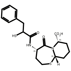 O=C(N[C@H]1CCS[C@H]2CCC[C@@H](C(=O)O)N2C1=O)C(S)Cc1ccccc1